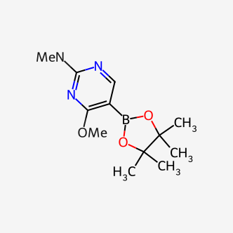 CNc1ncc(B2OC(C)(C)C(C)(C)O2)c(OC)n1